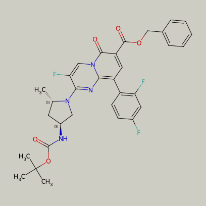 C[C@H]1C[C@H](NC(=O)OC(C)(C)C)CN1c1nc2c(-c3ccc(F)cc3F)cc(C(=O)OCc3ccccc3)c(=O)n2cc1F